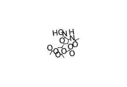 CC(=O)NC1/C(=N/O)O[C@H](C(COC(C)=O)OC(C)=O)[C@@H]1OC(C)=O